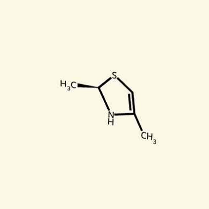 CC1=CS[C@H](C)N1